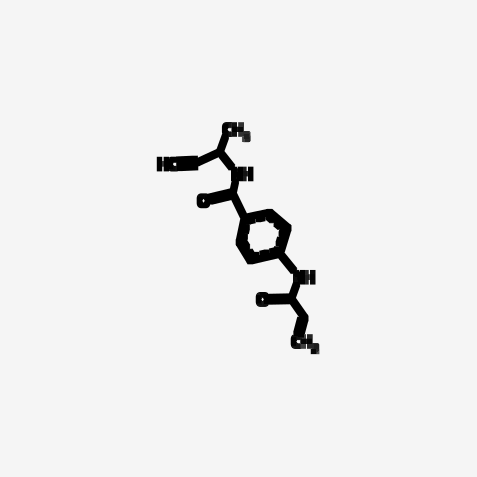 C#CC(C)NC(=O)c1ccc(NC(=O)C=C)cc1